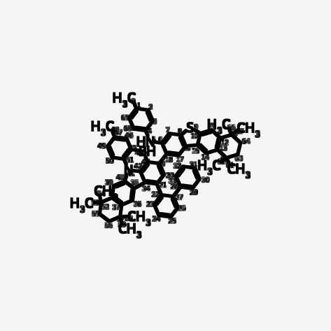 Cc1ccc(Nc2cc3sc4cc5c(cc4c3cc2-c2cc(-c3ccccc3-c3ccccc3)c3c4cc6c(cc4n4c3c2Bc2cc(C)ccc2-4)C(C)(C)CCC6(C)C)C(C)(C)CCC5(C)C)cc1